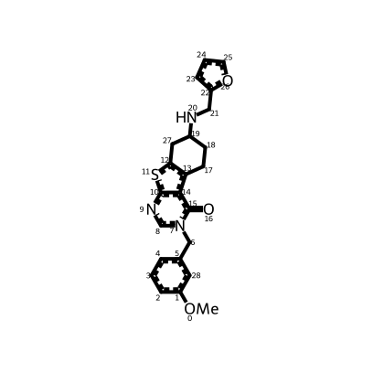 COc1cccc(Cn2cnc3sc4c(c3c2=O)CCC(NCc2ccco2)C4)c1